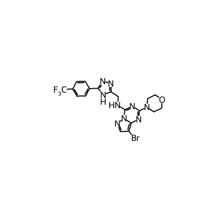 FC(F)(F)c1ccc(-c2nnc(CNc3nc(N4CCOCC4)nc4c(Br)cnn34)[nH]2)cc1